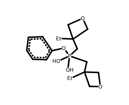 CCC1(CP(O)(O)(CC2(CC)COC2)Oc2ccccc2)COC1